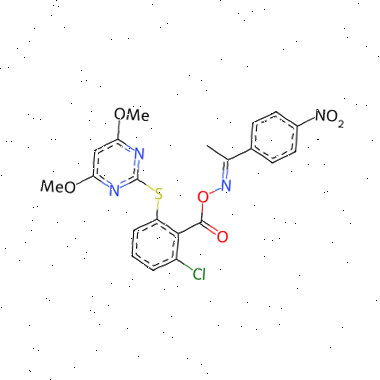 COc1cc(OC)nc(Sc2cccc(Cl)c2C(=O)O/N=C(\C)c2ccc([N+](=O)[O-])cc2)n1